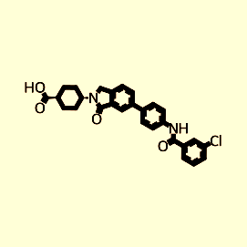 O=C(Nc1ccc(-c2ccc3c(c2)C(=O)N([C@H]2CC[C@H](C(=O)O)CC2)C3)cc1)c1cccc(Cl)c1